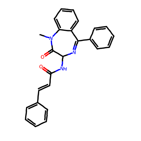 CN1C(=O)C(NC(=O)C=Cc2ccccc2)N=C(c2ccccc2)c2ccccc21